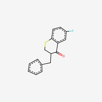 O=C1c2cc(F)ccc2SCC1Cc1ccccc1